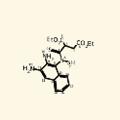 CCOC(=O)CC(C(=O)OCC)C(=S)N(S)c1c(N)c(N)cc2ccccc12